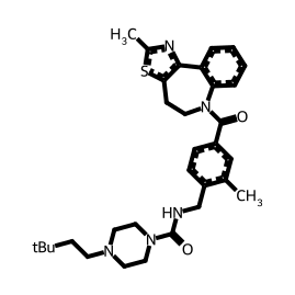 Cc1nc2c(s1)CCN(C(=O)c1ccc(CNC(=O)N3CCN(CCC(C)(C)C)CC3)c(C)c1)c1ccccc1-2